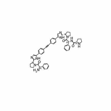 N[C@@H](C(=O)N1CCC[C@H]1c1ncc(-c2ccc(C#Cc3ccc(-c4cnc([C@@H]5CCCN5C(=O)[C@H](NC(=O)[C@H]5CCCN5)c5ccccc5)[nH]4)cc3)cc2)[nH]1)c1ccccc1